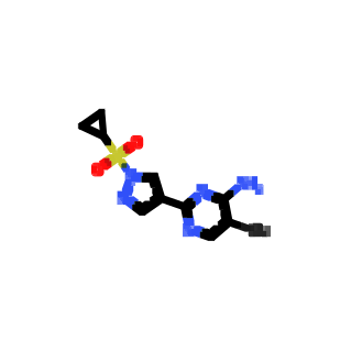 CC(C)(C)c1cnc(-c2cnn(S(=O)(=O)C3CC3)c2)nc1N